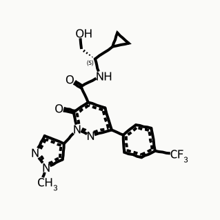 Cn1cc(-n2nc(-c3ccc(C(F)(F)F)cc3)cc(C(=O)N[C@H](CO)C3CC3)c2=O)cn1